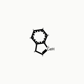 [CH]1=[GeH][c]2ccccc2C1